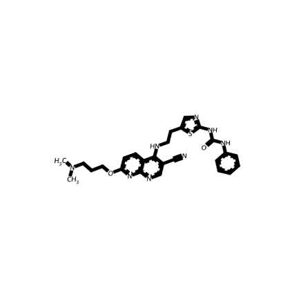 CN(C)CCCOc1ccc2c(NCCc3cnc(NC(=O)Nc4ccccc4)s3)c(C#N)cnc2n1